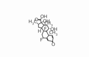 C[C@@H]1C[C@H]2C3C[C@H](F)C4=CC(=O)C=C[C@]4(C)[C@@]3(F)[C@@H](O)C[C@]2(C)[C@@]1(O)C(=O)O